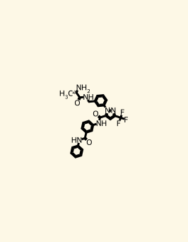 C[C@H](N)C(=O)NCc1cccc(-n2nc(C(F)(F)F)cc2C(=O)Nc2cccc(C(=O)Nc3ccccc3)c2)c1